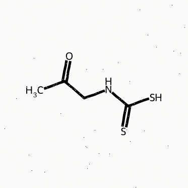 CC(=O)CNC(=S)S